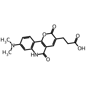 CN(C)c1ccc2c(c1)[nH]c(=O)c1cc(CCC(=O)O)c(=O)oc12